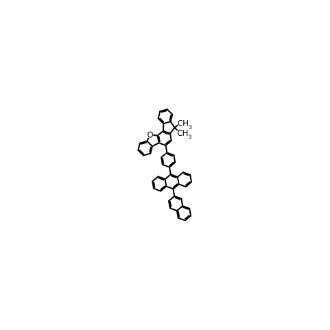 CC1(C)c2ccccc2-c2c1cc(-c1ccc(-c3c4ccccc4c(-c4ccc5ccccc5c4)c4ccccc34)cc1)c1c2oc2ccccc21